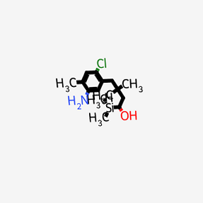 Cc1cc(Cl)c(CC(C)(C)CC(O)[SiH](C)C)cc1N